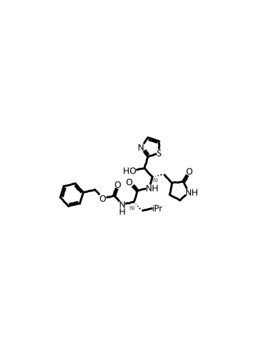 CC(C)C[C@H](NC(=O)OCc1ccccc1)C(=O)N[C@@H](CC1CCNC1=O)C(O)c1nccs1